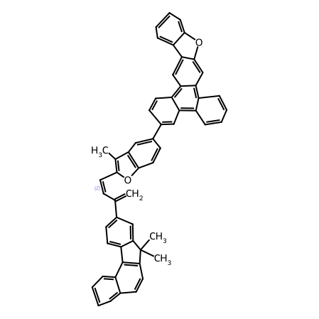 C=C(/C=C\c1oc2ccc(-c3ccc4c(c3)c3ccccc3c3cc5oc6ccccc6c5cc43)cc2c1C)c1ccc2c(c1)C(C)(C)c1ccc3ccccc3c1-2